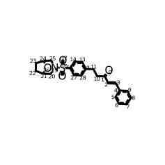 O=C(/C=C/c1ccccc1)CCc1ccc(S(=O)(=O)N2CC3CCC(C2)O3)cc1